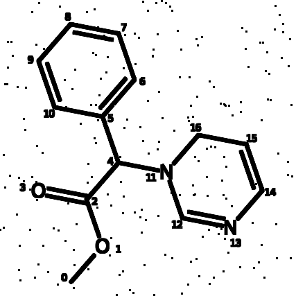 COC(=O)C(c1ccccc1)N1C=NC=CC1